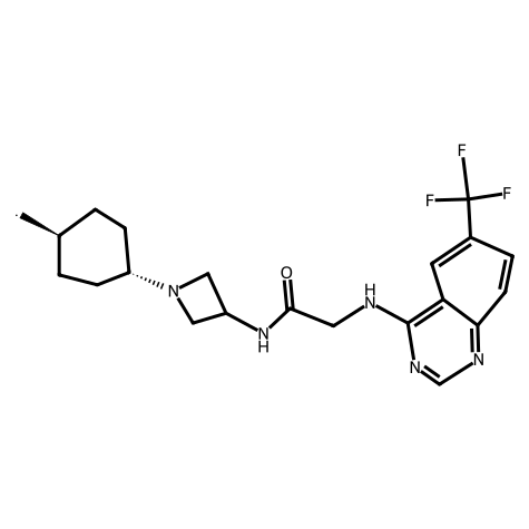 [CH2][C@H]1CC[C@H](N2CC(NC(=O)CNc3ncnc4ccc(C(F)(F)F)cc34)C2)CC1